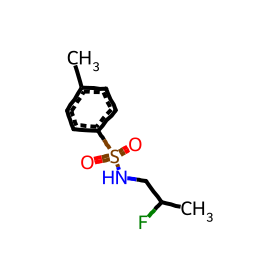 Cc1ccc(S(=O)(=O)NCC(C)F)cc1